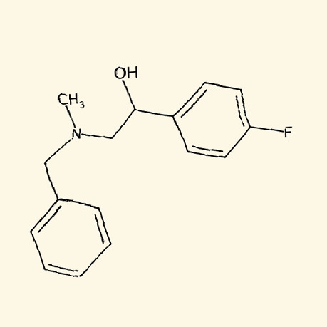 CN(Cc1ccccc1)CC(O)c1ccc(F)cc1